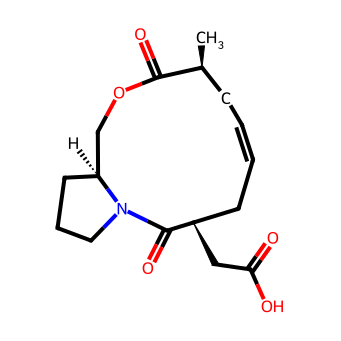 C[C@H]1C/C=C\C[C@@H](CC(=O)O)C(=O)N2CCC[C@H]2COC1=O